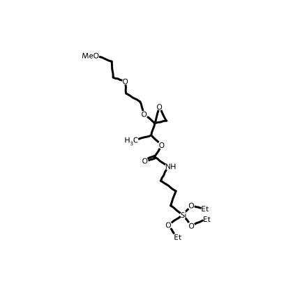 CCO[Si](CCCNC(=O)OC(C)C1(OCCOCCOC)CO1)(OCC)OCC